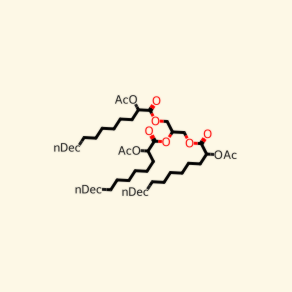 CCCCCCCCCCCCCCCCC(OC(C)=O)C(=O)OCC(COC(=O)C(CCCCCCCCCCCCCCCC)OC(C)=O)OC(=O)C(CCCCCCCCCCCCCCCC)OC(C)=O